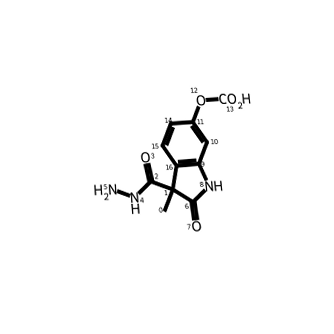 CC1(C(=O)NN)C(=O)Nc2cc(OC(=O)O)ccc21